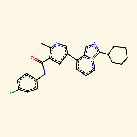 Cc1ncc(-c2cccn3c(C4CCCCC4)ncc23)cc1C(=O)Nc1ccc(F)cc1